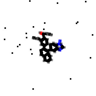 COC(=O)c1ccc(-c2ccc3ccccc3c2-c2ccc3[nH]cnc3c2)cc1OC